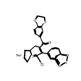 O=C([O-])/C(=C(\CC1CCCC1)C(=O)c1ccc2c(c1)OCCO2)c1ccc2nsnc2c1.[Na+]